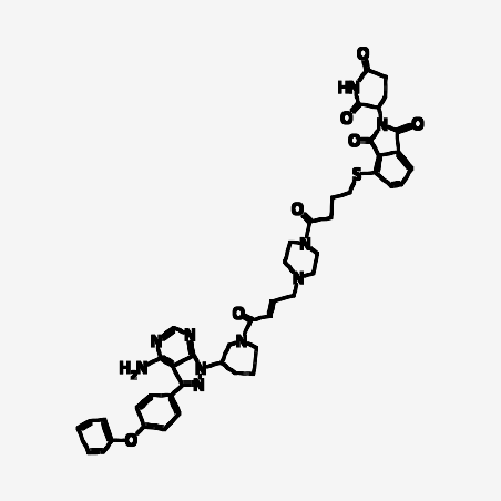 Nc1ncnc2c1c(-c1ccc(Oc3ccccc3)cc1)nn2C1CCCN(C(=O)/C=C/CN2CCN(C(=O)CCCSc3cccc4c3C(=O)N(C3CCC(=O)NC3=O)C4=O)CC2)C1